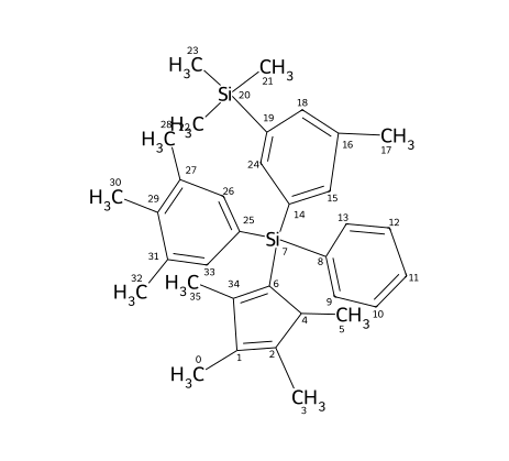 CC1=C(C)C(C)C([Si](c2ccccc2)(c2cc(C)cc([Si](C)(C)C)c2)c2cc(C)c(C)c(C)c2)=C1C